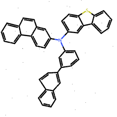 c1cc(-c2ccc3ccccc3c2)cc(N(c2ccc3c(ccc4ccccc43)c2)c2ccc3sc4ccccc4c3c2)c1